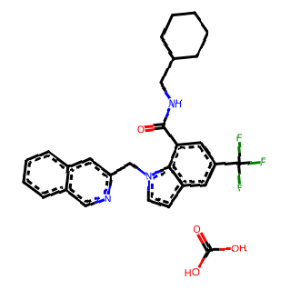 O=C(NCC1CCCCC1)c1cc(C(F)(F)F)cc2ccn(Cc3cc4ccccc4cn3)c12.O=C(O)O